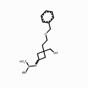 CC(C)(C)N(N=C1CC(CO)(CCOCc2ccccc2)C1)C(=O)O